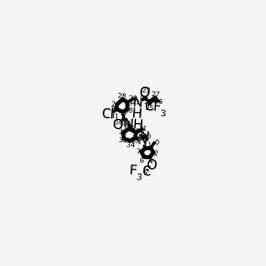 Cc1cc(OC(F)(F)F)ccc1-n1ncc2c(NC(=O)c3cc(CNC(=O)C4(C(F)(F)F)CC4)ccc3Cl)cccc21